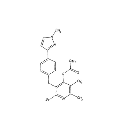 COC(=O)Oc1c(C)c(C)nc(C(C)C)c1Cc1ccc(-c2ccn(C)n2)cc1